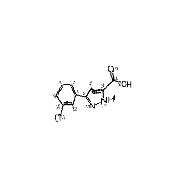 O=C(O)c1cc(-c2cccc(Cl)c2)n[nH]1